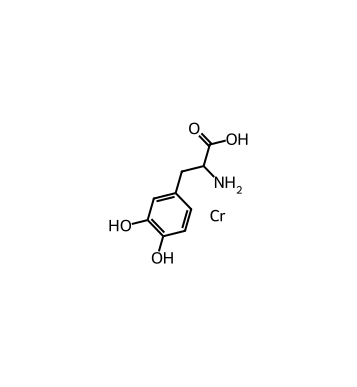 NC(Cc1ccc(O)c(O)c1)C(=O)O.[Cr]